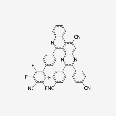 N#Cc1ccc(-c2nc3cc(C#N)c4c5ccccc5nc(-c5ccc(-c6c(F)c(F)c(C#N)c(F)c6F)cc5)c4c3nc2-c2ccc(C#N)cc2)cc1